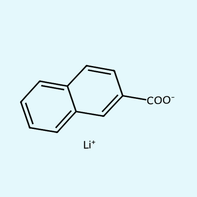 O=C([O-])c1ccc2ccccc2c1.[Li+]